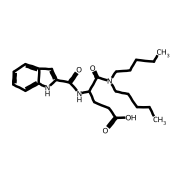 CCCCCN(CCCCC)C(=O)C(CCC(=O)O)NC(=O)c1cc2ccccc2[nH]1